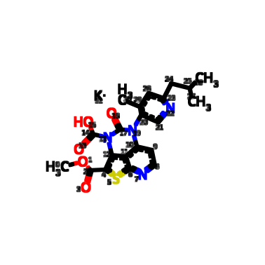 COC(=O)c1sc2nccc3c2c1N(C(=O)O)C(=O)N3c1cnc(CC(C)C)cc1C.[K]